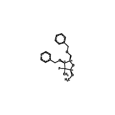 CO[C@@H]1O[C@H](COCc2ccccc2)[C@H](OCc2ccccc2)C1(C)F